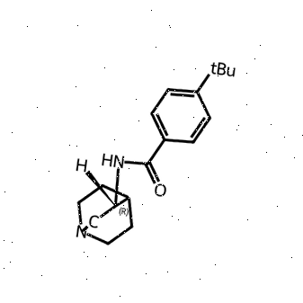 CC(C)(C)c1ccc(C(=O)N[C@H]2CN3CCC2CC3)cc1